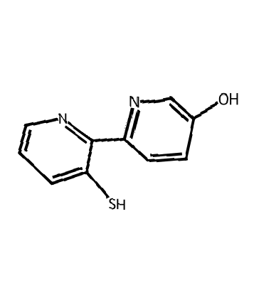 Oc1ccc(-c2ncccc2S)nc1